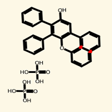 O=P(O)(O)O.O=P(O)(O)O.Oc1cc(-c2ccccc2)c(Oc2ccccc2)c(-c2ccccc2)c1-c1ccccc1